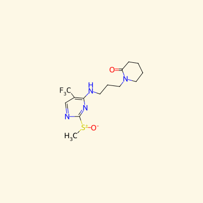 C[S+]([O-])c1ncc(C(F)(F)F)c(NCCCN2CCCCC2=O)n1